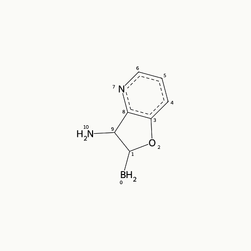 BC1Oc2cccnc2C1N